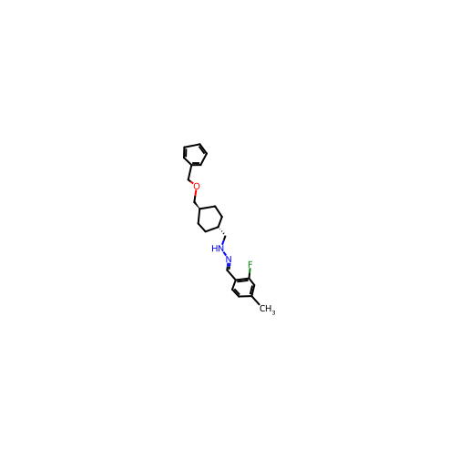 Cc1ccc(C=NNC[C@H]2CC[C@H](COCc3ccccc3)CC2)c(F)c1